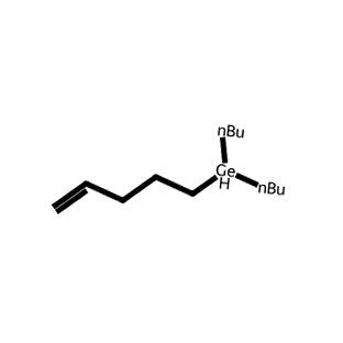 C=CCC[CH2][GeH]([CH2]CCC)[CH2]CCC